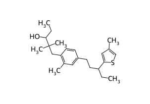 CCC(CCc1ccc(CC(C)(C)C(O)CC)c(C)c1)c1cc(C)cs1